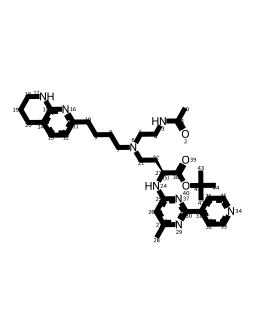 CC(=O)NCCN(CCCCc1ccc2c(n1)NCCC2)CC[C@H](Nc1cc(C)nc(-c2ccncc2)n1)C(=O)OC(C)(C)C